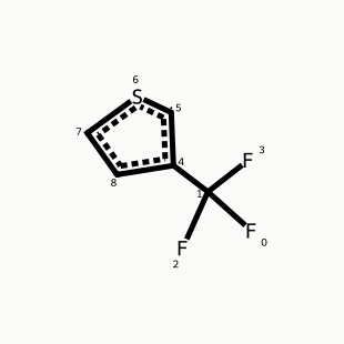 FC(F)(F)c1[c]scc1